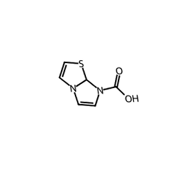 O=C(O)N1C=CN2C=CSC21